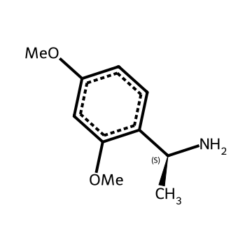 COc1ccc([C@H](C)N)c(OC)c1